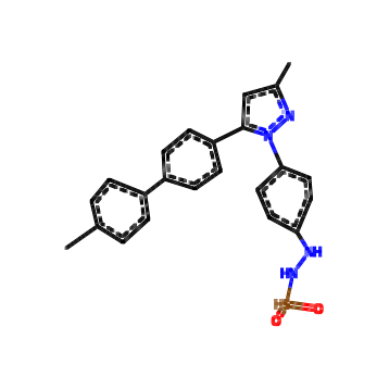 Cc1ccc(-c2ccc(-c3cc(C)nn3-c3ccc(NN[SH](=O)=O)cc3)cc2)cc1